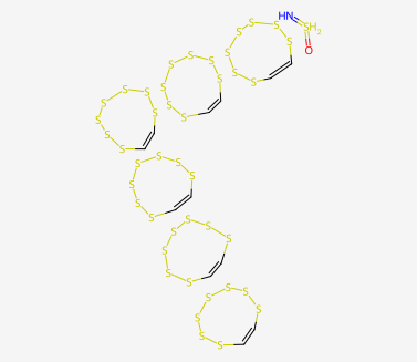 C1=CSSSSSSS1.C1=CSSSSSSS1.C1=CSSSSSSS1.C1=CSSSSSSS1.C1=CSSSSSSS1.C1=CSSSSSSS1.N=[SH2]=O